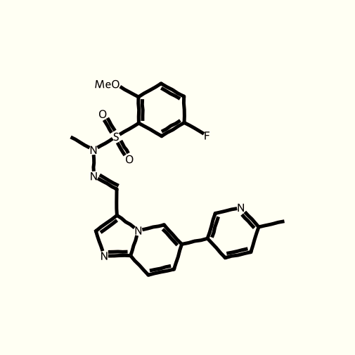 COc1ccc(F)cc1S(=O)(=O)N(C)/N=C/c1cnc2ccc(-c3ccc(C)nc3)cn12